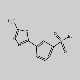 CCS(=O)(=O)c1cccc(-c2nnc(C)o2)c1